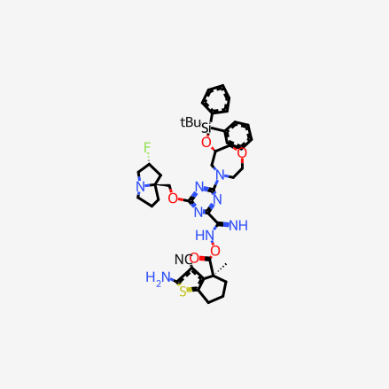 CC(C)(C)[Si](O[C@H]1COCCN(c2nc(OC[C@@]34CCCN3C[C@H](F)C4)nc(C(=N)NOC(=O)[C@@]3(C)CCCc4sc(N)c(C#N)c43)n2)C1)(c1ccccc1)c1ccccc1